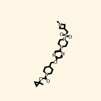 CN1CC(CS(=O)(=O)N2CCN(c3cnc(OCC4CCN(C(=O)OC5(C)CC5)CC4)cn3)CC2)C1